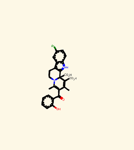 CC1=C(C(=O)O)C2(C(=O)O)c3[nH]c4ccc(Br)cc4c3CCN2C(C)=C1C(=O)c1ccccc1O